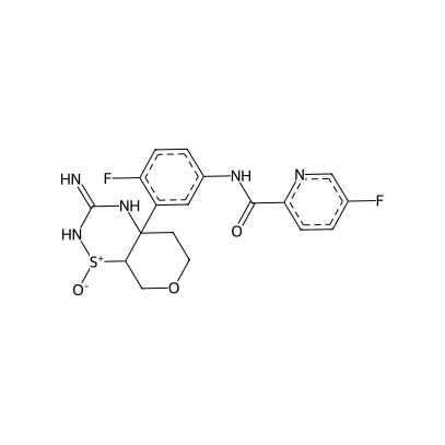 N=C1N[S+]([O-])C2COCCC2(c2cc(NC(=O)c3ccc(F)cn3)ccc2F)N1